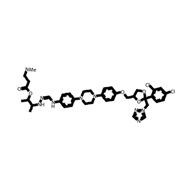 CNCCC(=O)OC(C)C(C)N/N=C\Nc1ccc(N2CCN(c3ccc(OCC4COC(Cn5cncn5)(c5ccc(Cl)cc5Cl)O4)cc3)CC2)cc1